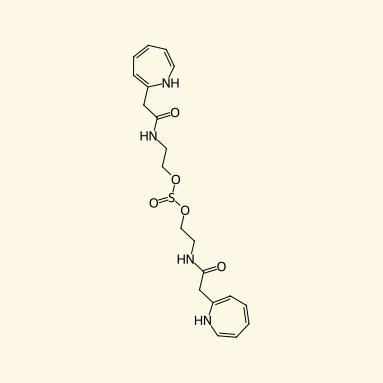 O=C(CC1=CC=CC=CN1)NCCOS(=O)OCCNC(=O)CC1=CC=CC=CN1